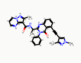 Cc1nn(C)cc1C#Cc1cccc2nc(C(C)NC(=O)c3c(C)nn4cccnc34)n(-c3ccccc3)c(=O)c12